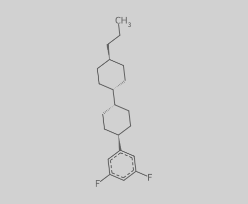 CCC[C@H]1CC[C@H]([C@H]2CC[C@H](c3cc(F)cc(F)c3)CC2)CC1